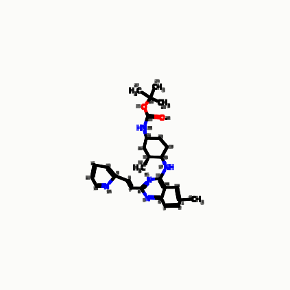 Cc1ccc2nc(C=Cc3ccccn3)nc(N[C@@H]3CC[C@H](NC(=O)OC(C)(C)C)C[C@@H]3C)c2c1